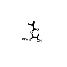 C=C(C)C(=O)OC(CCCCC)C(C)O